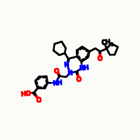 CC1(C(=O)Cc2ccc3c(c2)NC(=O)N(CC(=O)Nc2cccc(C(=O)O)c2)N=C3C2CCCCC2)CCCC1